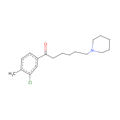 Cc1ccc(C(=O)CCCCCN2CC[CH]CC2)cc1Cl